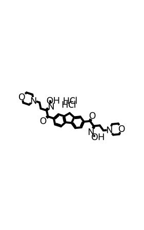 Cl.Cl.O=C(C(CCN1CCOCC1)=NO)c1ccc2c(c1)Cc1cc(C(=O)C(CCN3CCOCC3)=NO)ccc1-2